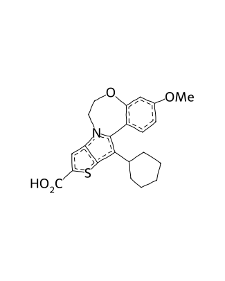 COc1ccc2c(c1)OCCn1c-2c(C2CCCCC2)c2sc(C(=O)O)cc21